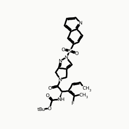 C/C=C\C(=C(/C)F)[C@@H](NC(=O)OC(C)(C)C)C(=O)N1Cc2cn(S(=O)(=O)c3ccc4ncccc4c3)nc2C1